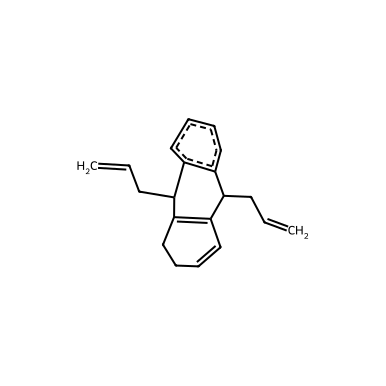 C=CCC1C2=C(CCC=C2)C(CC=C)c2ccccc21